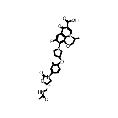 CC(=O)NC[C@H]1CN(c2ccc(OC3CCN(c4c(F)cc5c(=O)c(C(=O)O)cn6c5c4OCC6C)C3)c(F)c2)C(=O)O1